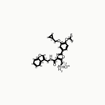 C[C@H](N)c1oc(-c2ccc(OC(F)F)c(OCC3CC3)c2)nc1C(=O)NCc1coc2ccccc12.Cl